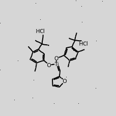 Cc1cc(C)c(C(C)(C)C)cc1[O][Ti](=[CH]c1ccco1)[O]c1cc(C(C)(C)C)c(C)cc1C.Cl.Cl